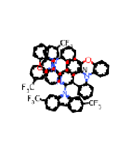 N#Cc1c(-c2ccccc2N2c3ccccc3Oc3ccccc32)c(-n2c3cc(C(F)(F)F)ccc3c3ccc(C(F)(F)F)cc32)nc(-n2c3cc(C(F)(F)F)ccc3c3ccc(C(F)(F)F)cc32)c1-c1ccccc1N1c2ccccc2Oc2ccccc21